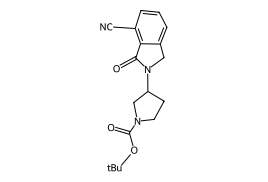 CC(C)(C)OC(=O)N1CCC(N2Cc3cccc(C#N)c3C2=O)C1